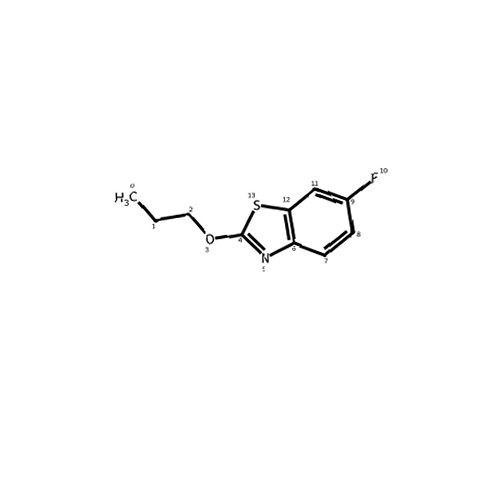 CCCOc1nc2ccc(F)cc2s1